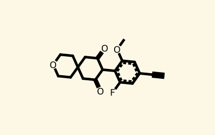 C#Cc1cc(F)c(C2C(=O)CC3(CCOCC3)CC2=O)c(OC)c1